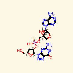 Nc1nc2c(nnn2[C@@H]2O[C@H](CO)C[C@H]2OP(O)(=S)OC[C@@]23COC([C@H](n4cnc5c(N)ncnc54)O2)[C@@H]3O)c(=O)[nH]1